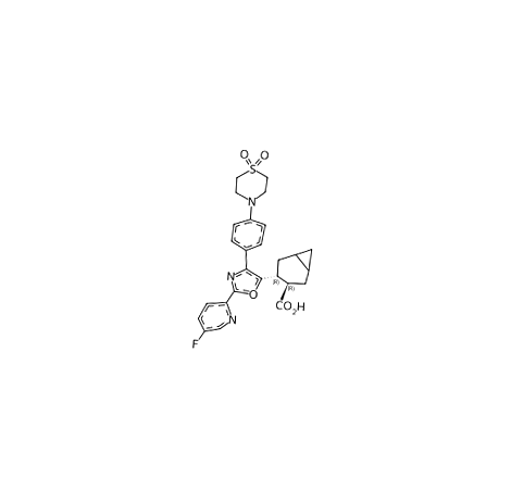 O=C(O)[C@@H]1CC2CC2C[C@H]1c1oc(-c2ccc(F)cn2)nc1-c1ccc(N2CCS(=O)(=O)CC2)cc1